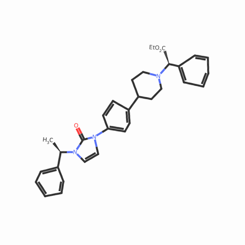 CCOC(=O)[C@@H](c1ccccc1)N1CCC(c2ccc(-n3ccn([C@H](C)c4ccccc4)c3=O)cc2)CC1